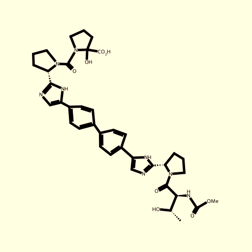 COC(=O)N[C@H](C(=O)N1CCC[C@H]1c1ncc(-c2ccc(-c3ccc(-c4cnc([C@@H]5CCCN5C(=O)N5CCCC5(O)C(=O)O)[nH]4)cc3)cc2)[nH]1)[C@H](C)O